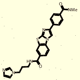 CNC(=O)c1ccc(-c2cn3c(n2)sc2cc(C(=O)NCCCn4ccnc4)ccc23)cc1